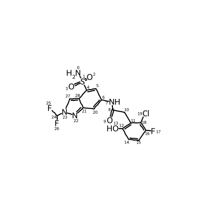 NS(=O)(=O)c1cc(NC(=O)Cc2c(O)ccc(F)c2Cl)cc2nn(C(F)F)cc12